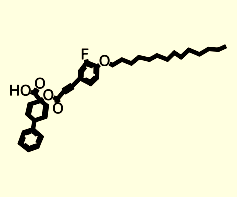 CCCCCCCCCCCCCCOc1ccc(C#CC(=O)OC2(C(=O)O)C=CC(c3ccccc3)C=C2)cc1F